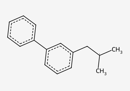 C[C](C)Cc1cccc(-c2ccccc2)c1